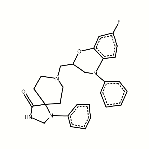 O=C1NCN(c2ccccc2)C12CCN(CC1CN(c3ccccc3)c3ccc(F)cc3O1)CC2